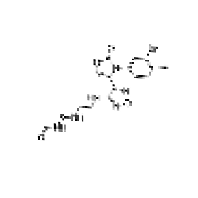 O=CNSNCCNc1nonc1-c1noc(=O)n1-c1ccc(F)c(Br)c1